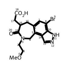 COCCN1Cc2c(cc(Br)c3[nH]ncc23)CC(CC(=O)O)C1=O